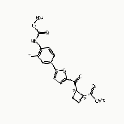 COC(=O)[C@@H]1CC[C@H]1C(=O)c1ccc(-c2ccc(NC(=O)OC(C)(C)C)c(F)c2)s1